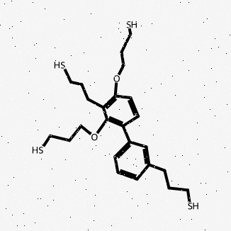 SCCCOc1ccc(-c2cccc(CCCS)c2)c(OCCCS)c1CCCS